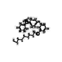 C=C.CCCCCCCCCOc1ccccc1.c1ccc(Oc2ccccc2)cc1